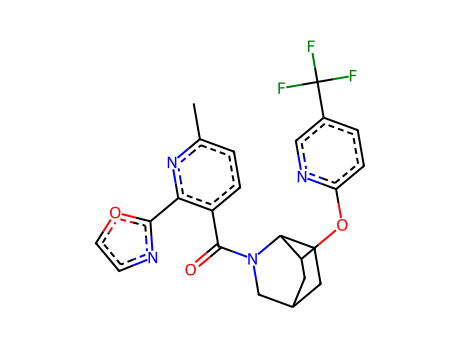 Cc1ccc(C(=O)N2CC3CCC2C(Oc2ccc(C(F)(F)F)cn2)C3)c(-c2ncco2)n1